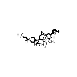 CCCC(=O)N1CCc2c(nc(C)n2C(CC)CC2=PN2CCC(NC(C)=O)c2ccc(F)s2)C1